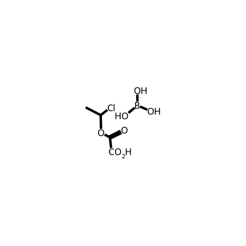 CC(Cl)OC(=O)C(=O)O.OB(O)O